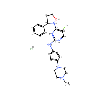 CN1CCN(c2ccc(Nc3ncc(F)c(N4OCCC4c4ccccc4)n3)cc2)CC1.Cl